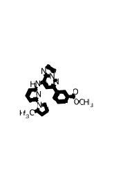 COC(=O)c1cccc(-c2cc(Nc3cccc(N4CCCC4C)n3)c3nccn3n2)c1